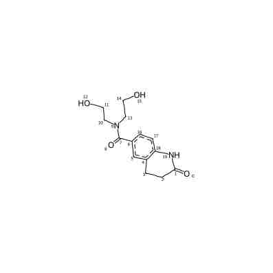 O=C1CCc2cc(C(=O)N(CCO)CCO)ccc2N1